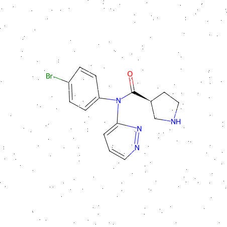 O=C([C@H]1CCNC1)N(c1ccc(Br)cc1)c1cccnn1